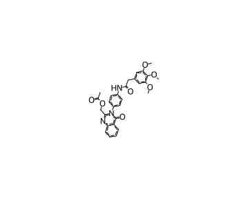 COc1cc(CC(=O)Nc2ccc(-n3c(COC(C)=O)nc4ccccc4c3=O)cc2)cc(OC)c1OC